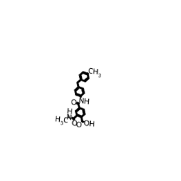 CNC(=O)c1cc(C(=O)Nc2ccc(Cc3ccc(C)cc3)cc2)ccc1C(=O)O